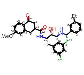 CCc1cccc(CNC[C@H](O)[C@H](Cc2cc(F)cc(F)c2)NC(=O)C2CC(=O)c3ccc(OC)cc3C2)c1